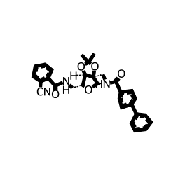 CC1(C)O[C@@H]2[C@@H](CNC(=O)c3ccccc3C#N)OC[C@]2(CNC(=O)c2ccc(-c3ccccc3)cc2)O1